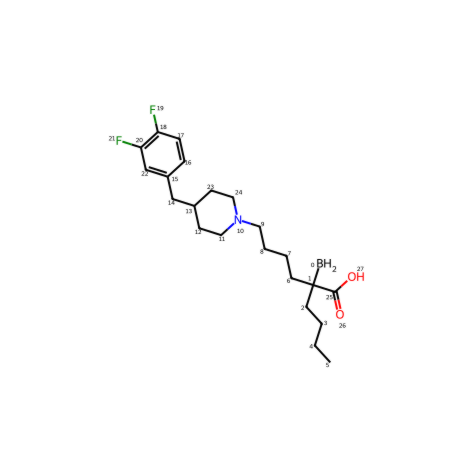 BC(CCCC)(CCCCN1CCC(Cc2ccc(F)c(F)c2)CC1)C(=O)O